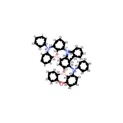 c1ccc(N2c3ccccc3B3c4c2cccc4-n2c4ccccc4c4c5c(cc3c42)B2c3ccccc3Oc3cccc(c32)N5c2ccccc2)cc1